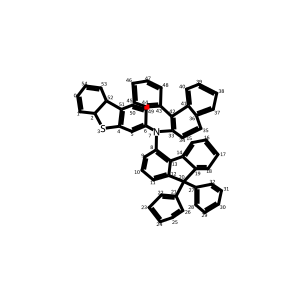 C1=CC2Sc3cc(N(c4cccc5c4-c4ccccc4C5(c4ccccc4)c4ccccc4)c4ccc5ccccc5c4-c4ccccc4)ccc3C2C=C1